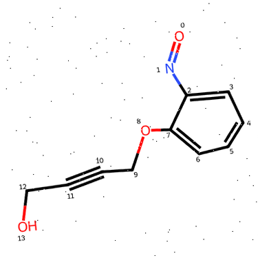 O=Nc1ccccc1OCC#CCO